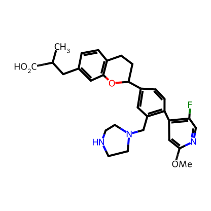 COc1cc(-c2ccc(C3CCc4ccc(CC(C)C(=O)O)cc4O3)cc2CN2CCNCC2)c(F)cn1